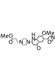 COC(=O)CCN1CCN(c2cc(=O)c3cc(-c4cnco4)c(OC)cc3[nH]2)CC1